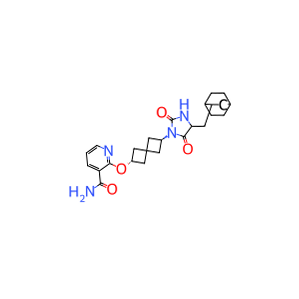 NC(=O)c1cccnc1O[C@H]1CC2(C1)C[C@H](N1C(=O)NC(CC3CC4CCC3CC4)C1=O)C2